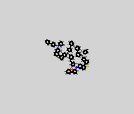 Cc1ccc(N(c2ccc3c(ccc4sc5ccc6cc(N(c7ccc(Cc8cccc(N(c9ccc(-c%10ccccc%10)cc9)c9ccc%10c(ccc%11sc%12ccc%13cc(N(c%14ccccc%14)c%14ccc(-c%15ccccc%15)cc%14)ccc%13c%12c%11%10)c9)c8)cc7)c7cccc8c7oc7ccccc78)ccc6c5c43)c2)c2cccc3c2oc2ccccc23)cc1